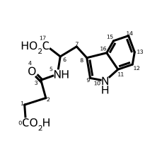 O=C(O)CCC(=O)NC(Cc1c[nH]c2ccccc12)C(=O)O